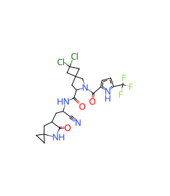 N#CC(CC1CC2(CC2)NC1=O)NC(=O)C1CC2(CN1C(=O)c1ccc(C(F)(F)F)[nH]1)CC(Cl)(Cl)C2